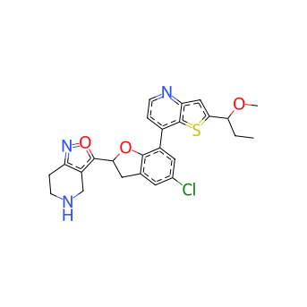 CCC(OC)c1cc2nccc(-c3cc(Cl)cc4c3OC(c3onc5c3CNCC5)C4)c2s1